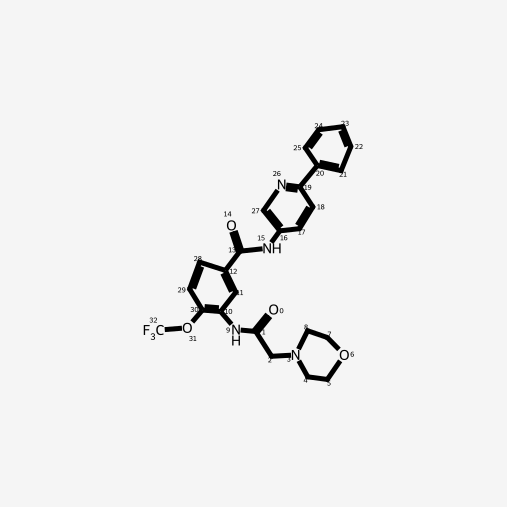 O=C(CN1CCOCC1)Nc1cc(C(=O)Nc2ccc(-c3ccccc3)nc2)ccc1OC(F)(F)F